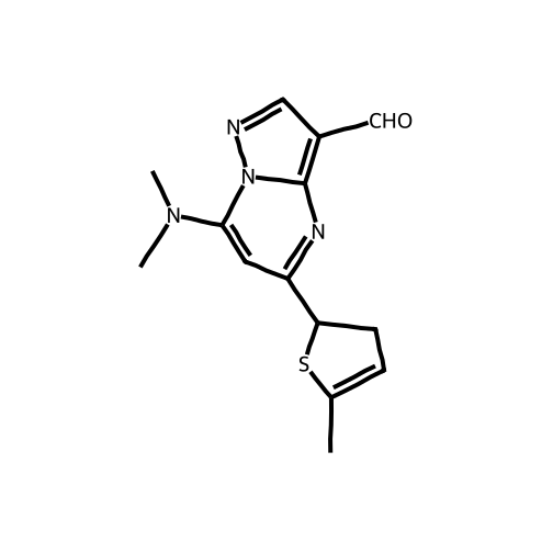 CC1=CCC(c2cc(N(C)C)n3ncc(C=O)c3n2)S1